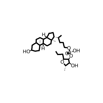 CCCC1O[C@@H](C)[C@H](O)[C@@H]1O[P@](=O)(O)OCCCC(C)[C@H]1CC[C@H]2C3CCC4C[C@H](O)CC[C@]4(C)[C@H]3CC[C@]12C